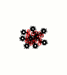 C[C@H](COC(=O)c1ccccc1)[C@H](OC(=O)c1ccccc1)[C@H](OC(=O)c1ccccc1)[C@@H](OC(=O)c1ccccc1)[C@@H](C)O[C@H]1C[C@@H](OC(=O)c2ccccc2)[C@H](OC(=O)c2ccccc2)O[C@@H]1COC(=O)c1ccccc1